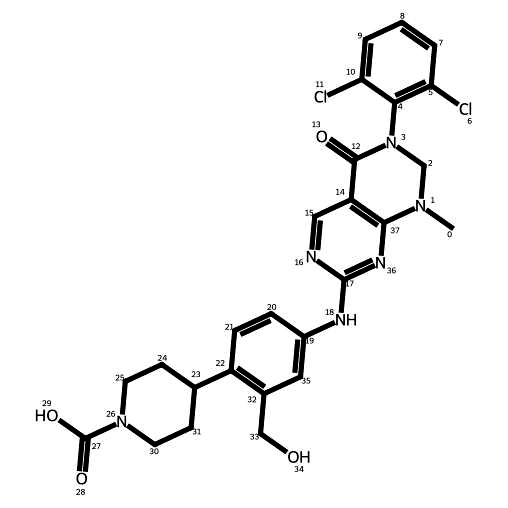 CN1CN(c2c(Cl)cccc2Cl)C(=O)c2cnc(Nc3ccc(C4CCN(C(=O)O)CC4)c(CO)c3)nc21